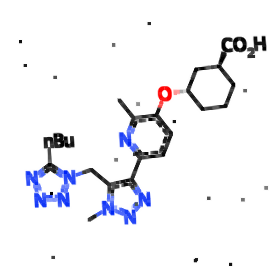 CCCCc1nnnn1Cc1c(-c2ccc(O[C@H]3CCC[C@H](C(=O)O)C3)c(C)n2)nnn1C